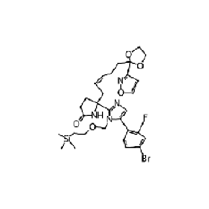 C[Si](C)(C)CCOCn1c(-c2ccc(Br)cc2F)cnc1C1(CC=CCCC2(c3ccon3)OCCO2)CCC(=O)N1